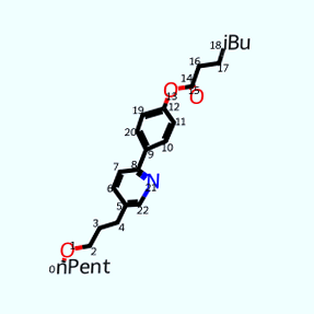 CCCCCOCCCc1ccc(-c2ccc(OC(=O)CCC(C)CC)cc2)nc1